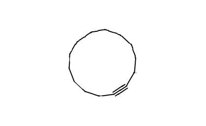 C1#CCCCCCCCCCCC[CH]1